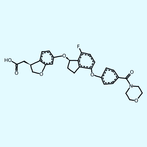 O=C(O)C[C@@H]1COc2cc(O[C@@H]3CCc4c(Oc5ccc(C(=O)N6CCOCC6)cc5)ccc(F)c43)ccc21